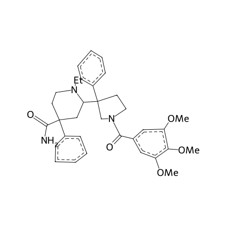 CCN1CCC(C(N)=O)(c2ccccc2)CC1C1(c2ccccc2)CCN(C(=O)c2cc(OC)c(OC)c(OC)c2)C1